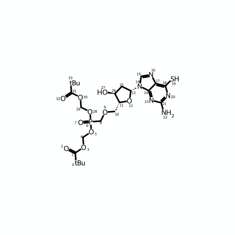 CC(C)(C)C(=O)OCOP(=O)(COC[C@H]1O[C@@H](n2cnc3c(S)nc(N)nc32)C[C@@H]1O)OCOC(=O)C(C)(C)C